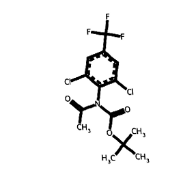 CC(=O)N(C(=O)OC(C)(C)C)c1c(Cl)cc(C(F)(F)F)cc1Cl